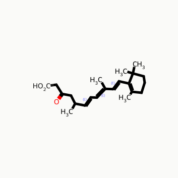 CC1=C(/C=C/C(C)=C/C=C/C(C)CC(=O)CC(=O)O)C(C)(C)CCC1